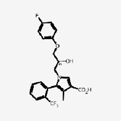 Cc1c(C(=O)O)cn(C[C@@H](O)COc2ccc(F)cc2)c1-c1ccccc1C(F)(F)F